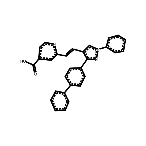 O=C(O)c1ccnc(/C=C/c2cn(-c3ccccc3)nc2-c2ccc(-c3ccccc3)cc2)c1